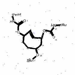 CCCC(C)NC(=O)OC1/C=C/C(OC(=O)NC(C)(C)C)CC(OC(C)(C)C)CC1